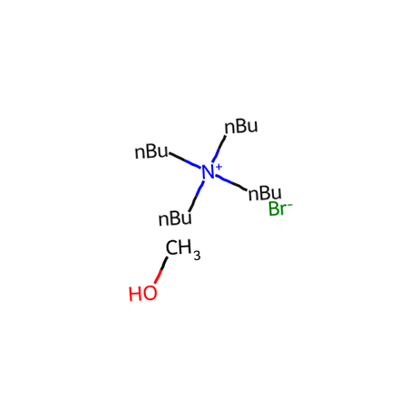 CCCC[N+](CCCC)(CCCC)CCCC.CO.[Br-]